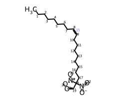 CCCCCCCC/C=C\CCCCCCCCC([C]=O)([N+](=O)[O-])[N+](=O)[O-]